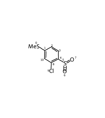 CSc1ccc([SH](=O)=O)c(Cl)c1